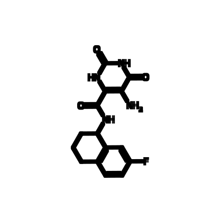 Nc1c(C(=O)NC2CCCc3ccc(F)cc32)[nH]c(=O)[nH]c1=O